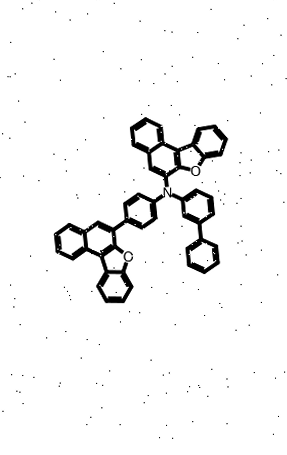 c1ccc(-c2cccc(N(c3ccc(-c4cc5ccccc5c5c4oc4ccccc45)cc3)c3cc4ccccc4c4c3oc3ccccc34)c2)cc1